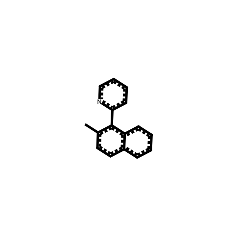 Cc1ccc2ccccc2c1-c1ccccn1